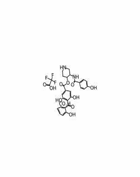 O=C(NC1CNCCC1OC(=O)c1cc(O)c(C(=O)c2c(O)cccc2C(=O)O)c(O)c1)c1ccc(O)cc1.O=C(O)C(F)(F)F